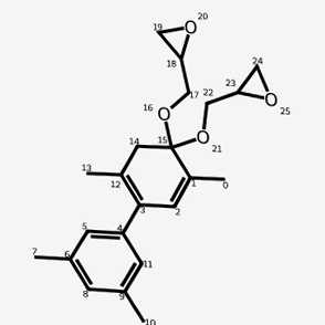 CC1=CC(c2cc(C)cc(C)c2)=C(C)CC1(OCC1CO1)OCC1CO1